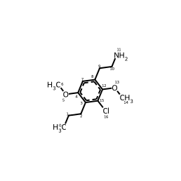 CCCc1c(OC)cc(CCN)c(OC)c1Cl